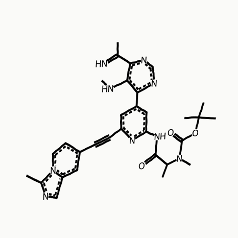 CNc1c(C(C)=N)ncnc1-c1cc(C#Cc2ccn3c(C)ncc3c2)nc(NC(=O)C(C)N(C)C(=O)OC(C)(C)C)c1